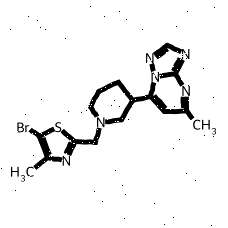 Cc1cc(C2CCCN(Cc3nc(C)c(Br)s3)C2)n2ncnc2n1